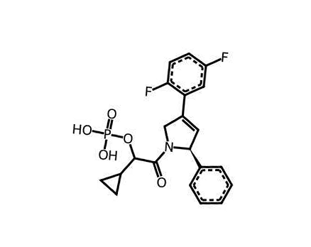 O=C(C(OP(=O)(O)O)C1CC1)N1CC(c2cc(F)ccc2F)=C[C@H]1c1ccccc1